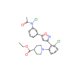 CCOC(=O)C1CCN(c2cccc(Cl)c2-c2cc(-c3cccc(N(Cl)C(C)=O)c3)on2)CC1